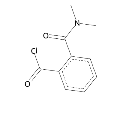 CN(C)C(=O)c1ccccc1C(=O)Cl